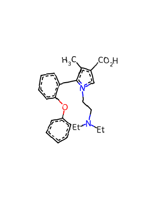 CCN(CC)CCn1cc(C(=O)O)c(C)c1-c1ccccc1Oc1ccccc1